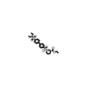 CCOC(=O)[C@@H]1CCCN(S(=O)(=O)c2ccc(-c3ccc(S(=O)(=O)N(CC)CC)cc3)cc2)C1